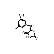 Cc1cc(O)cc(NC2SC(=O)NC2=O)c1